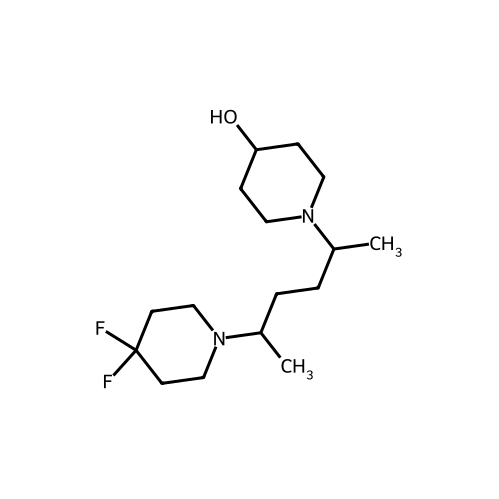 CC(CCC(C)N1CCC(F)(F)CC1)N1CCC(O)CC1